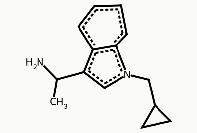 CC(N)c1cn(CC2CC2)c2ccccc12